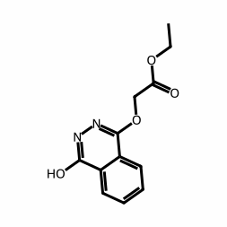 CCOC(=O)COc1nnc(O)c2ccccc12